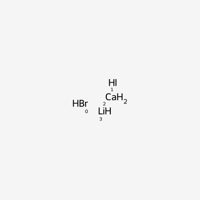 Br.I.[CaH2].[LiH]